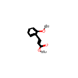 CC(C)(C)OC(=O)/C=C/c1ccccc1OC(C)(C)C